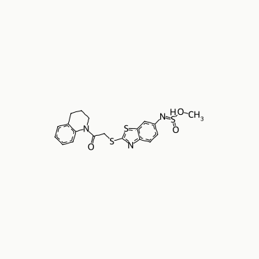 CO[SH](=O)=Nc1ccc2nc(SCC(=O)N3CCCc4ccccc43)sc2c1